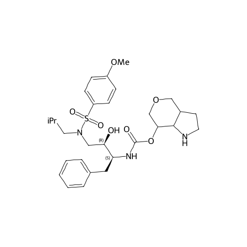 COc1ccc(S(=O)(=O)N(CC(C)C)C[C@@H](O)[C@H](Cc2ccccc2)NC(=O)OC2COCC3CCNC32)cc1